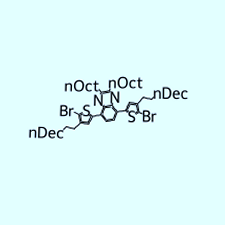 CCCCCCCCCCCCc1cc(-c2ccc(-c3cc(CCCCCCCCCCCC)c(Br)s3)c3nc(CCCCCCCC)c(CCCCCCCC)nc23)sc1Br